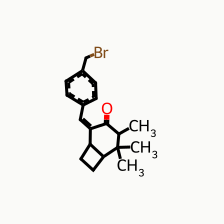 CC1C(=O)/C(=C\c2ccc(CBr)cc2)C2CCC2C1(C)C